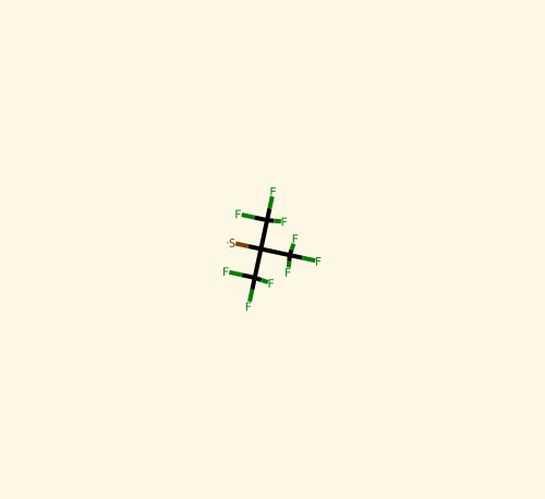 FC(F)(F)C([S])(C(F)(F)F)C(F)(F)F